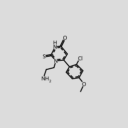 COc1ccc(-c2cc(=O)[nH]c(=S)n2CCN)c(Cl)c1